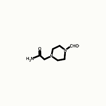 NC(=O)CN1CCN([C]=O)CC1